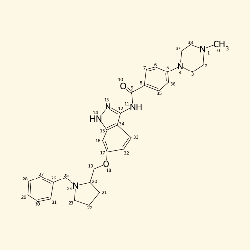 CN1CCN(c2ccc(C(=O)Nc3n[nH]c4cc(OCC5CCCN5Cc5ccccc5)ccc34)cc2)CC1